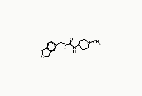 CN1CCC(NC(=O)NCc2ccc3c(c2)COC3)CC1